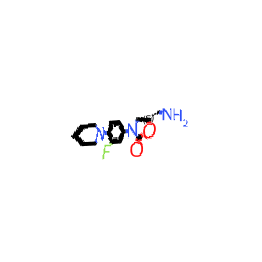 NC[C@H]1CN(c2ccc(N3CCCCC3)c(F)c2)C(=O)O1